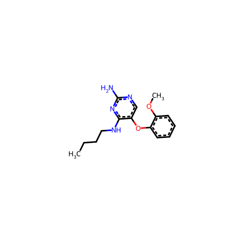 CCCCNc1nc(N)ncc1Oc1ccccc1OC